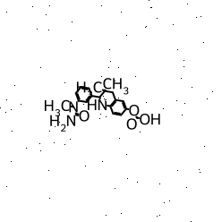 CN(C(N)=O)c1cccc(C2Nc3ccc(OC(=O)O)cc3CC2(C)C)c1